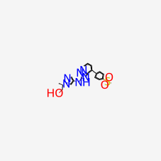 C[C@H](CO)n1cc(Nc2nc3c(-c4ccc(S(C)(=O)=O)cc4)cccn3n2)cn1